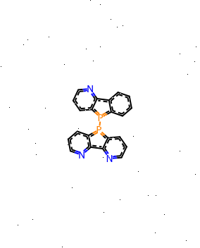 c1ccc2c(c1)c1ncccc1p2-p1c2cccnc2c2ncccc21